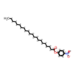 CCCCCCCCCCCCCCCCCCCCCC(=O)Oc1ccc([N+](=O)[O-])cc1